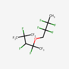 CC(F)(F)C(F)(F)COC(F)(C(F)C(F)(C(F)(F)F)C(F)(F)F)C(F)(F)F